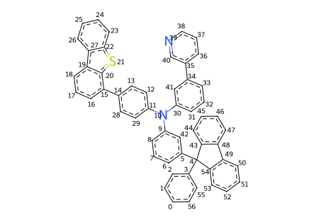 c1ccc(C2(c3cccc(N(c4ccc(-c5cccc6c5sc5ccccc56)cc4)c4cccc(-c5cccnc5)c4)c3)c3ccccc3-c3ccccc32)cc1